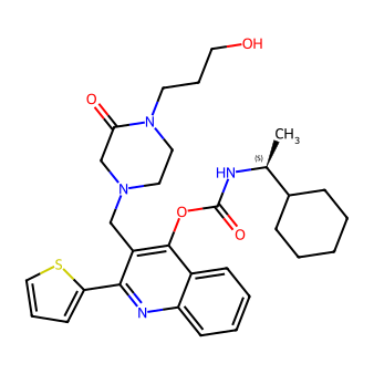 C[C@H](NC(=O)Oc1c(CN2CCN(CCCO)C(=O)C2)c(-c2cccs2)nc2ccccc12)C1CCCCC1